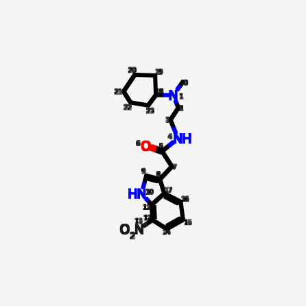 CN(CCNC(=O)Cc1c[nH]c2c([N+](=O)[O-])cccc12)C1CCCCC1